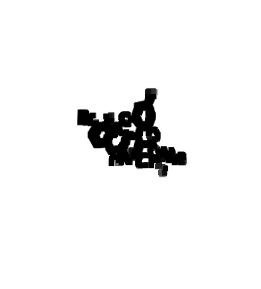 COC(=O)C1=C(C)NC(Cc2ccc(Br)cc2)=C(C#N)C1c1ccc(F)cc1C(F)(F)F